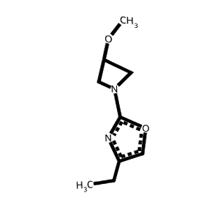 CCc1coc(N2CC(OC)C2)n1